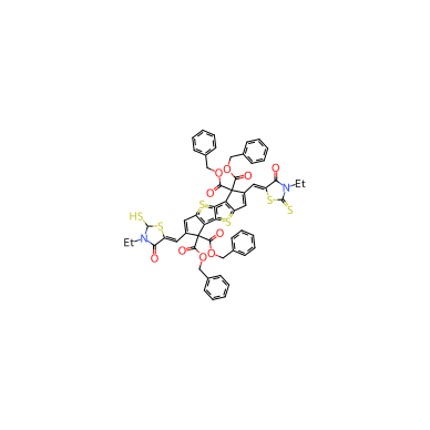 CCN1C(=O)/C(=C/C2=Cc3sc4c5c(sc4c3C2(C(=O)OCc2ccccc2)C(=O)OCc2ccccc2)C=C(/C=C2\SC(S)N(CC)C2=O)C5(C(=O)OCc2ccccc2)C(=O)OCc2ccccc2)SC1=S